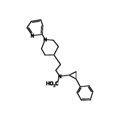 O=C(O)N(CCC1CCN(c2ccccn2)CC1)C1CC1c1ccccc1